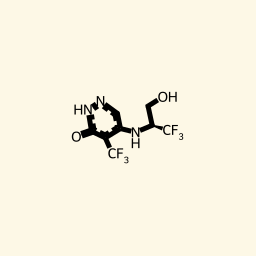 O=c1[nH]ncc(N[C@@H](CO)C(F)(F)F)c1C(F)(F)F